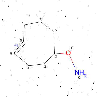 NOC1CC/C=C/CCC1